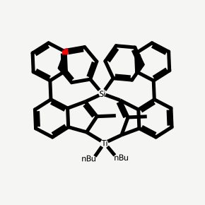 CCC[CH2][Ti]1([CH2]CCC)[CH]2C(C)=C(c3c(-c4ccccc4)cccc32)[Si](c2ccccc2)(c2ccccc2)C2=C(C)[CH]1c1cccc(-c3ccccc3)c12